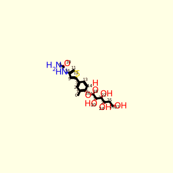 Cc1cc(-c2cc(NC(N)=O)cs2)ccc1OC(O)C(O)C(O)C(O)CCO